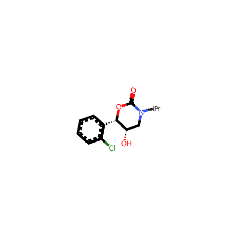 CC(C)N1C[C@H](O)[C@H](c2ccccc2Cl)OC1=O